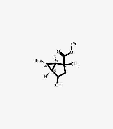 CC(C)(C)OC(=O)[C@]1(C)CC(O)[C@H]2[C@H](C(C)(C)C)[C@H]21